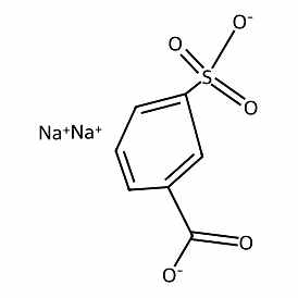 O=C([O-])c1cccc(S(=O)(=O)[O-])c1.[Na+].[Na+]